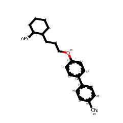 CCCC1CCCCC1CCCOc1ccc(-c2ccc(C#N)cc2)cc1